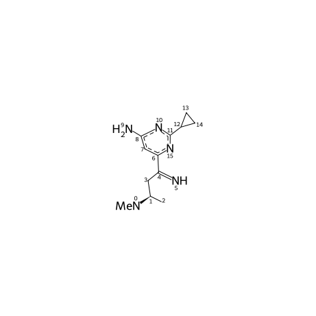 CN[C@H](C)CC(=N)c1cc(N)nc(C2CC2)n1